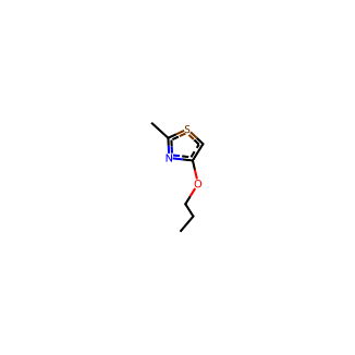 CCCOc1csc(C)n1